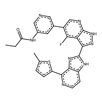 CCC(=O)Nc1cncc(-c2cnc3[nH]nc(-c4nc5c(-c6ccc(C)s6)nccc5[nH]4)c3c2F)c1